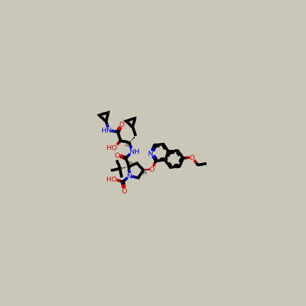 CCOc1ccc2c(O[C@H]3CN(C(=O)O)[C@](C(=O)N[C@@H](CC4CC4)C(O)C(=O)NC4CC4)(C(C)(C)C)C3)nccc2c1